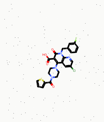 O=C(O)c1c(N2CCN(C(=O)c3cccs3)CC2)c2cc(Cl)cnc2n(Cc2cccc(F)c2)c1=O